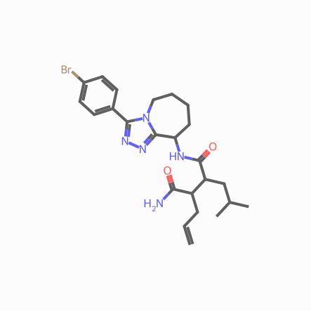 C=CCC(C(N)=O)C(CC(C)C)C(=O)NC1CCCCn2c(-c3ccc(Br)cc3)nnc21